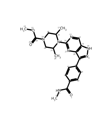 CNC(=O)c1ccc(-c2n[nH]c3cnc(N4C(C)CN(C(=O)OC)CC4C)nc23)cc1